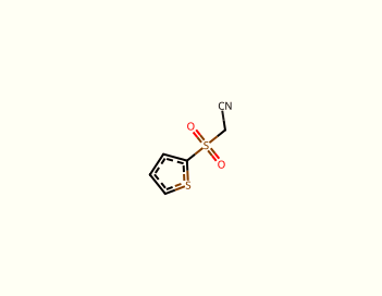 N#CCS(=O)(=O)c1cccs1